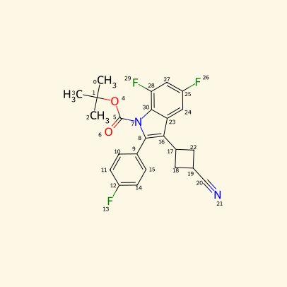 CC(C)(C)OC(=O)n1c(-c2ccc(F)cc2)c(C2CC(C#N)C2)c2cc(F)cc(F)c21